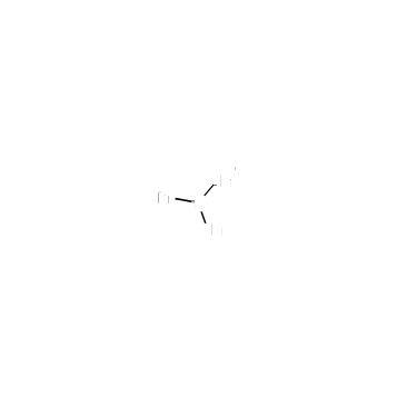 CC(C)P(C(C)C)C(C)C.[Fe]